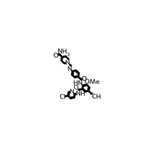 C#Cc1cc(OC)c(NC(=O)c2ccc(N=CN3CCC(C(N)=O)CC3)cc2)c(C(=O)Nc2ccc(Cl)cn2)c1